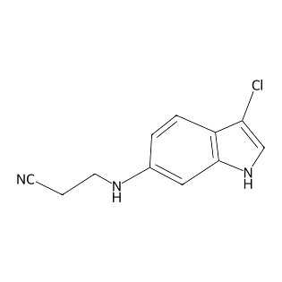 N#CCCNc1ccc2c(Cl)c[nH]c2c1